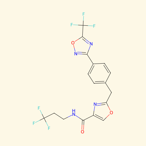 O=C(NCCC(F)(F)F)c1coc(Cc2ccc(-c3noc(C(F)(F)F)n3)cc2)n1